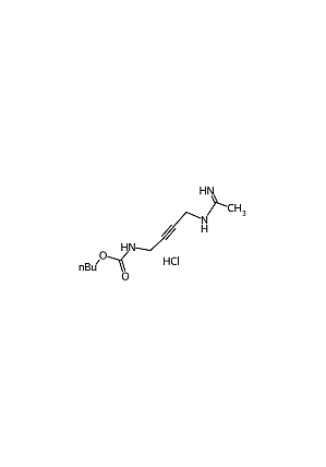 CCCCOC(=O)NCC#CCNC(C)=N.Cl